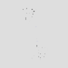 CC1(C)c2ccccc2-c2ccc(N(c3ccccc3)c3ccc4c(c3)C(C)(C)c3cc(/C=C/c5ccc(-c6ccc(/C=C/c7ccc8c(c7)C(C)(C)c7cc(N(c9ccccc9)c9ccc%10c(c9)C(C)(C)c9ccccc9-%10)ccc7-8)cc6)cc5)ccc3-4)cc21